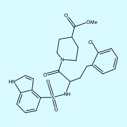 COC(=O)C1CCN(C(=O)C(CCc2ccccc2Cl)NS(=O)(=O)c2cccc3[nH]ccc23)CC1